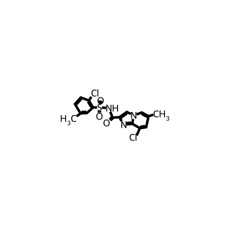 Cc1ccc(Cl)c(S(=O)(=O)NC(=O)c2cn3cc(C)cc(Cl)c3n2)c1